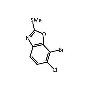 CSc1nc2ccc(Cl)c(Br)c2o1